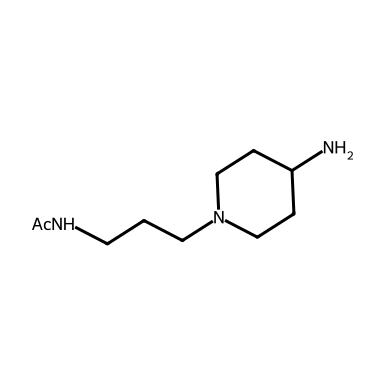 CC(=O)NCCCN1CCC(N)CC1